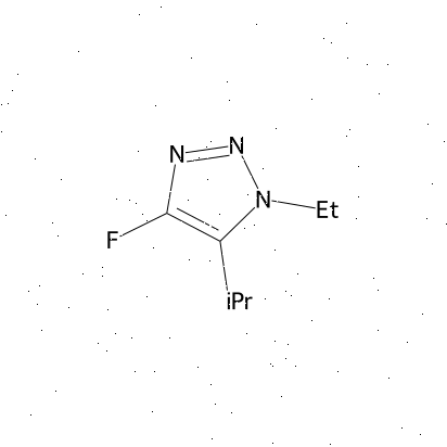 CCn1nnc(F)c1C(C)C